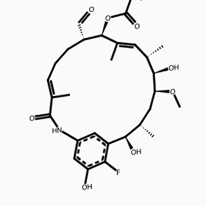 CO[C@H]1C[C@H](C)[C@@H](O)c2cc(cc(O)c2F)NC(=O)/C(C)=C/CC[C@H](C=O)[C@@H](OC(N)=O)/C(C)=C/[C@H](C)[C@H]1O